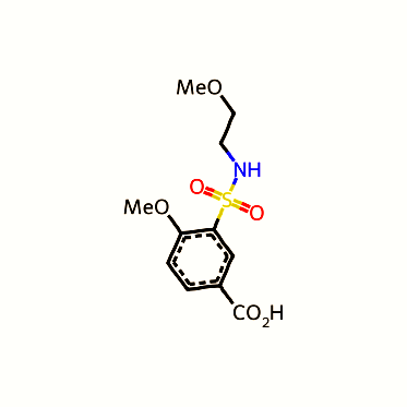 COCCNS(=O)(=O)c1cc(C(=O)O)ccc1OC